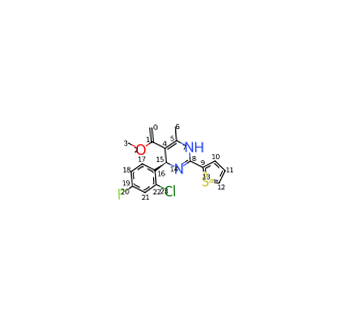 C=C(OC)C1=C(C)NC(c2cccs2)=N[C@H]1c1ccc(F)cc1Cl